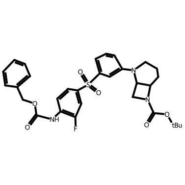 CC(C)(C)OC(=O)N1CC2C1CCCN2c1cccc(S(=O)(=O)c2ccc(NC(=O)OCc3ccccc3)c(F)c2)c1